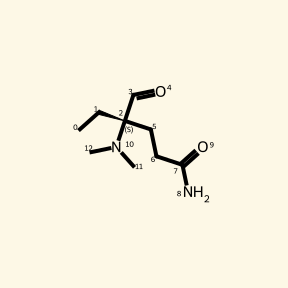 CC[C@@](C=O)(CCC(N)=O)N(C)C